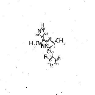 Cc1cc(OCc2c(F)cccc2F)n2nc(C)c(-c3cn[nH]c3)c2c1